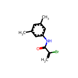 C=C(Br)C(=O)Nc1cc(C)cc(C)c1